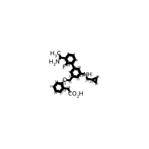 CC(N)c1cccc(-c2cc(COc3ccccc3CC(=O)O)cc(NCC3CC3)c2)c1F